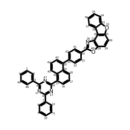 c1ccc(-c2nc(-c3ccccc3)nc(-c3cccc4c(-c5ccc(-c6nc7c(ccc8oc9ccccc9c87)o6)cc5)cccc34)n2)cc1